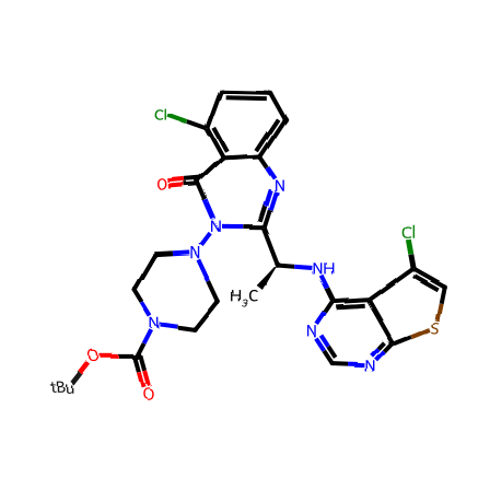 C[C@H](Nc1ncnc2scc(Cl)c12)c1nc2cccc(Cl)c2c(=O)n1N1CCN(C(=O)OC(C)(C)C)CC1